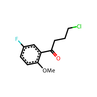 COc1ccc(F)cc1C(=O)CCCCl